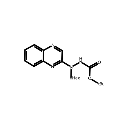 CCCCCCN(NC(=O)OC(C)(C)C)c1cnc2ccccc2n1